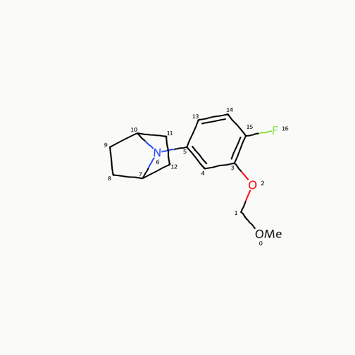 COCOc1cc(N2C3CCC2CC3)ccc1F